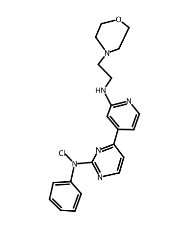 ClN(c1ccccc1)c1nccc(-c2ccnc(NCCN3CCOCC3)c2)n1